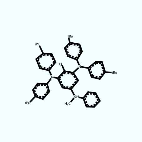 CC(C)c1ccc(N(c2ccc(C(C)(C)C)cc2)c2cc([SiH](C)c3ccccc3)cc(N(c3ccc(C(C)(C)C)cc3)c3ccc(C(C)(C)C)cc3)c2Cl)cc1